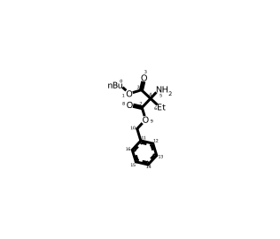 CCCCOC(=O)C(N)(CC)C(=O)OCc1ccccc1